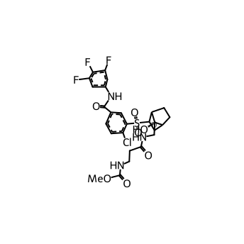 COC(=O)NCCC(=O)NC[C@@]1(O)C2CCC1C(S(=O)(=O)c1cc(C(=O)Nc3cc(F)c(F)c(F)c3)ccc1Cl)C2